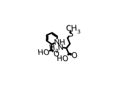 CSCCC(N)C(=O)O.O=C(O)C1C=CC=CN1